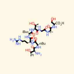 CCCC[C@H](NC(=O)[C@@H](N)[C@H](O)C(C)C)C(=O)N[C@H](CCCNC(=N)N)C(=O)N[C@H](C(=O)N[C@H](C(=O)NCC(=O)N[C@@H](C)C(=O)N[C@@H](CO)C(=O)O)[C@H](C)O)[C@@H](C)CC